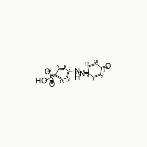 O=C1C=CC(=NNc2ccc(S(=O)(=O)O)cc2)C=C1